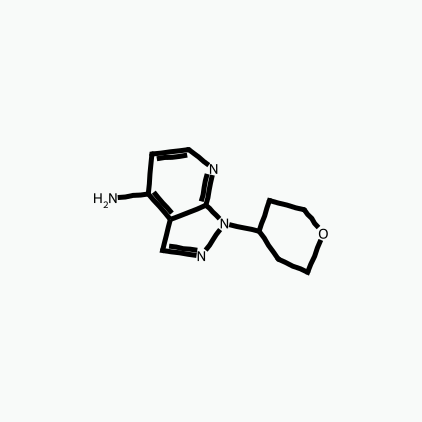 Nc1ccnc2c1cnn2C1CCOCC1